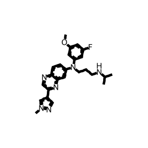 COc1cc(F)cc(N(CCCNC(C)C)c2ccc3ncc(-c4cnn(C)c4)nc3c2)c1